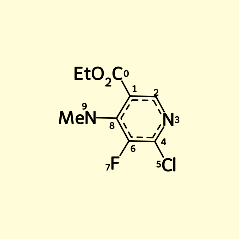 CCOC(=O)c1cnc(Cl)c(F)c1NC